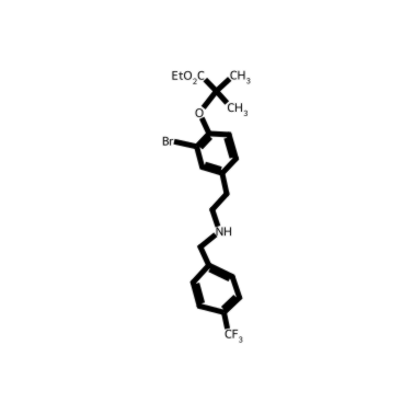 CCOC(=O)C(C)(C)Oc1ccc(CCNCc2ccc(C(F)(F)F)cc2)cc1Br